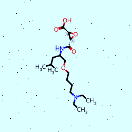 CCN(CC)CCCCOCC(CC(C)C)NC(=O)[C@H]1O[C@@H]1C(=O)O